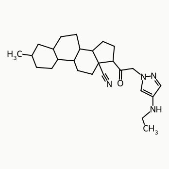 CCNc1cnn(CC(=O)C2CCC3C4CCC5CC(C)CCC5C4CCC23C#N)c1